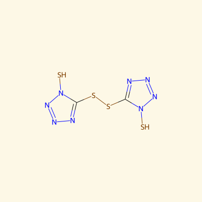 Sn1nnnc1SSc1nnnn1S